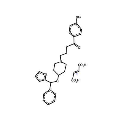 CC(C)(C)c1ccc(C(=O)CCCN2CCC(OC(c3ccccc3)c3cccs3)CC2)cc1.O=C(O)/C=C/C(=O)O